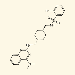 CN(C)c1nc(NC[C@H]2CC[C@H](CNS(=O)(=O)c3ccccc3Br)CC2)nc2ccccc12